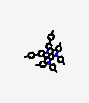 Cc1ccc(-c2ccc3c(c2)B2c4cc(C)ccc4N(c4ccc(C)cc4)c4cc5c6c(c42)N3c2ccc(-c3ccc(C)cc3)cc2B6c2cc(C)ccc2N5c2ccc(C)cc2)cc1